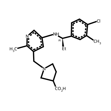 CC[C@@H](Nc1cnc(C)c(CN2CCC(C(=O)O)C2)c1)c1ccc(Cl)c(C)c1